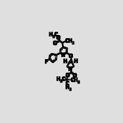 COC(=O)C(C)c1cc(OC2[C@H]3CN(C(=O)OC(C)(C)C)C[C@@H]23)nc(-c2ccc(F)cc2)c1